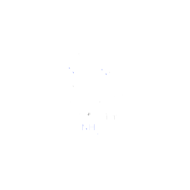 CC(C)C1(C(C)C)c2nccnc2C[C@H]1N